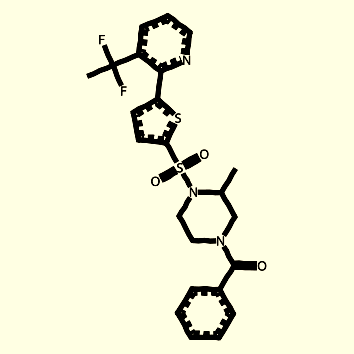 CC1CN(C(=O)c2ccccc2)CCN1S(=O)(=O)c1ccc(-c2ncccc2C(C)(F)F)s1